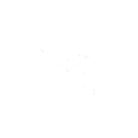 CCN(CC)CCCOc1cc2c(cn1)C(c1ccc(Cl)c(Cl)c1)CNC2